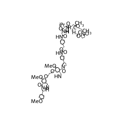 COc1ccc(C2=CN3C(=O)c4cc(OC)c(OCCCOc5cc(C=N)c(C(=O)N6C=C(c7ccc(NC(=O)OCc8ccc(NC(=O)CNC(=O)C(NC(=O)CCC(C)(C)OCCC(C)(C)N9C(=O)CCC9=O)C(C)C)cc8)cc7)CC6)cc5OC)cc4C=N[C@H]3C2)cc1